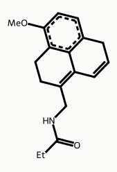 CCC(=O)NCC1=C2C=CCc3ccc(OC)c(c32)CC1